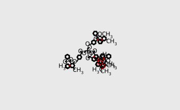 Cc1cc(C)c(C(=O)P(=O)(c2ccccc2)c2ccccc2)c(OCc2ccc(C(=O)OCC(COC(=O)c3ccc(COc4cc(C)cc(C)c4C(=O)P(=O)(c4ccccc4)c4ccccc4)cc3)(COC(=O)c3ccc(COc4cc(C)cc(C)c4C(=O)P(=O)(c4ccccc4)c4ccccc4)cc3)COC(=O)c3ccc(COc4cc(C)cc(C)c4C(=O)[PH](O)(c4ccccc4)c4ccccc4)cc3)cc2)c1